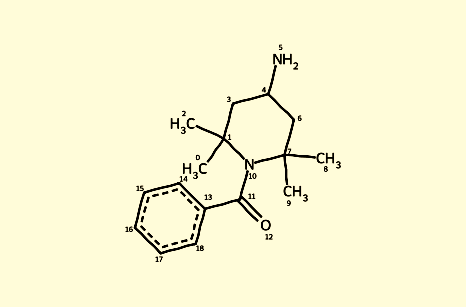 CC1(C)CC(N)CC(C)(C)N1C(=O)c1ccccc1